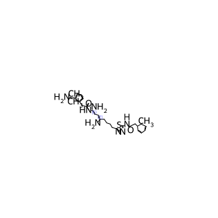 CC1C=CC=CC1CC(=O)Nc1nnc(CCCC/C(N)=C/C=C(\N)NC(=O)Cc2cccc(C(C)(C)N)c2)s1